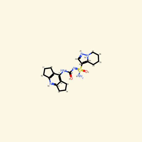 NS(=O)(=NC(=O)Nc1c2c(nc3c1CCC3)CCC2)c1cnn2c1CCCC2